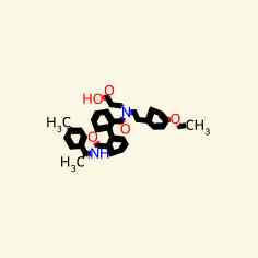 CCOc1ccc(CCN(CCC(=O)O)C(=O)c2ccccc2-c2ccccc2C(=O)N[C@H](C)c2ccc(C)cc2)cc1